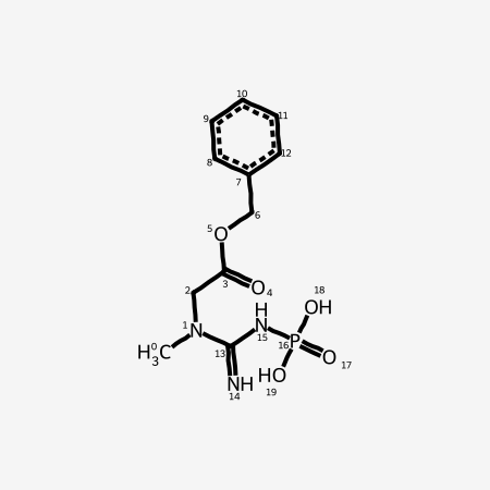 CN(CC(=O)OCc1ccccc1)C(=N)NP(=O)(O)O